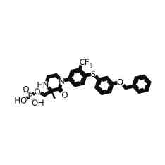 C[C@@]1(COP(=O)(O)O)NCCN(c2ccc(Sc3cccc(OCc4ccccc4)c3)c(C(F)(F)F)c2)C1=O